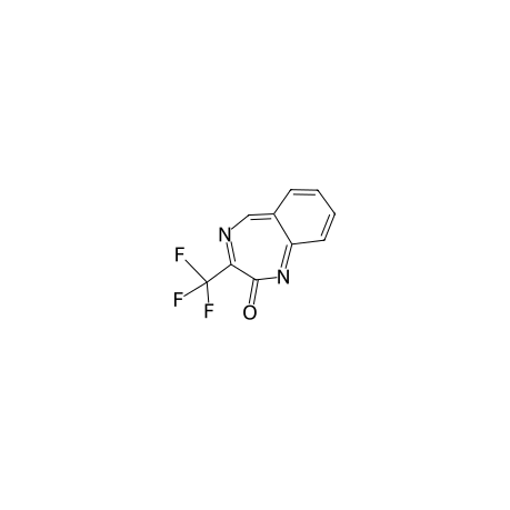 O=c1nc2ccccc2cnc1C(F)(F)F